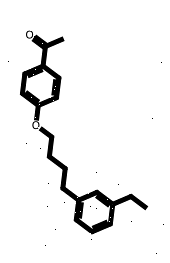 CCc1cccc(CCCCOc2ccc(C(C)=O)cc2)c1